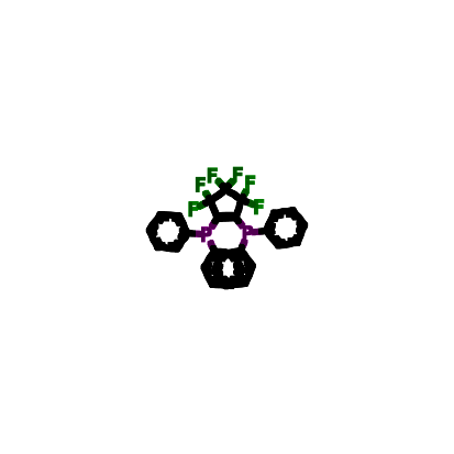 FC1(F)C(P(c2ccccc2)c2ccccc2)=C(P(c2ccccc2)c2ccccc2)C(F)(F)C1(F)F